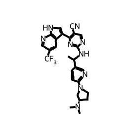 CC(Nc1ncc(C#N)c(-c2c[nH]c3ncc(C(F)(F)F)cc23)n1)c1ccc(N2CC[C@@H](N(C)C)C2)nc1